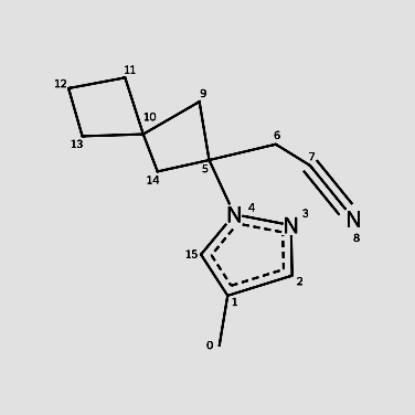 Cc1cnn(C2(CC#N)CC3(CCC3)C2)c1